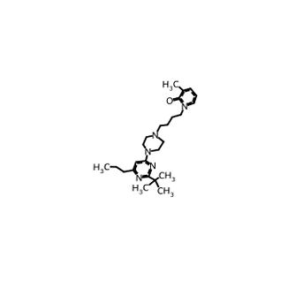 CCCc1cc(N2CCN(CCCCn3cccc(C)c3=O)CC2)nc(C(C)(C)C)n1